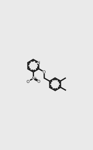 Cc1ccc(COc2ncccc2[N+](=O)[O-])cc1C